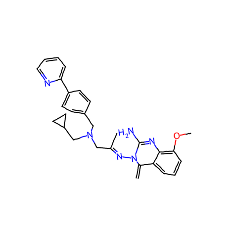 C=C1c2cccc(OC)c2N=C(N)N1/N=C(\C)CN(Cc1ccc(-c2ccccn2)cc1)CC1CC1